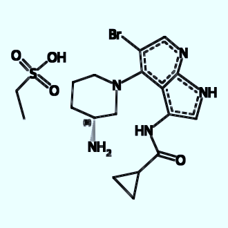 CCS(=O)(=O)O.N[C@@H]1CCCN(c2c(Br)cnc3[nH]cc(NC(=O)C4CC4)c23)C1